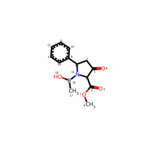 COC(=O)C1C(=O)CC(c2ccccc2)N1B(C)O